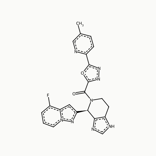 Cc1ccc(-c2nnc(C(=O)N3CCc4[nH]cnc4[C@H]3c3cc4c(F)cccn4n3)o2)nc1